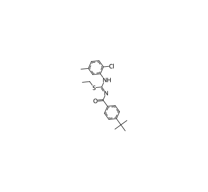 CCSC(=NC(=O)c1ccc(C(C)(C)C)cc1)Nc1cc(C)ccc1Cl